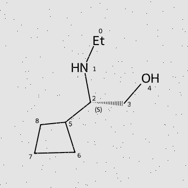 CCN[C@H](CO)C1CCC1